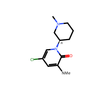 CNc1cc(Cl)cn([C@@H]2CCCN(C)C2)c1=O